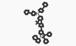 CC1(C)c2cc(-c3ccc4c(c3)c(-c3ccccc3)c(-c3ccccc3)n4-c3cccc4ccccc34)ccc2-c2ccc(N(c3ccc(-c4ccccc4)cc3)c3ccc(-c4ccccc4)cc3)cc21